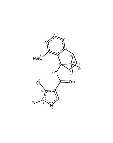 COc1cccc2c1C1(OC(=O)c3cnn(C)c3Cl)CCC2C1(C)C